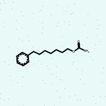 NC(=O)OCCCCCCCc1ccccc1